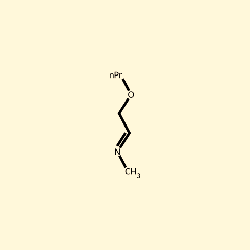 CCCOC/C=N/C